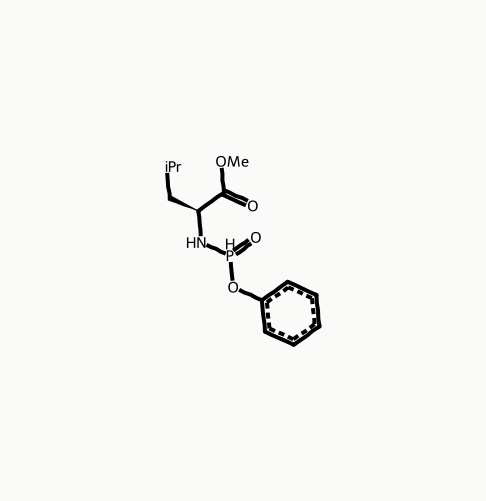 COC(=O)[C@H](CC(C)C)N[PH](=O)Oc1ccccc1